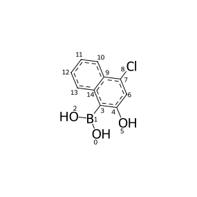 OB(O)c1c(O)cc(Cl)c2ccccc12